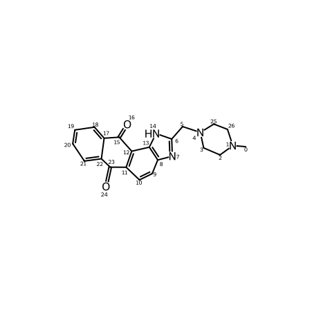 CN1CCN(Cc2nc3ccc4c(c3[nH]2)C(=O)c2ccccc2C4=O)CC1